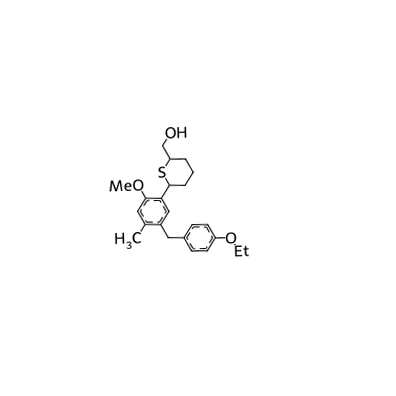 CCOc1ccc(Cc2cc(C3CCCC(CO)S3)c(OC)cc2C)cc1